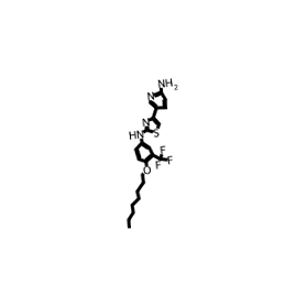 CCCCCCCCOc1ccc(Nc2nc(-c3ccc(N)nc3)cs2)cc1C(F)(F)F